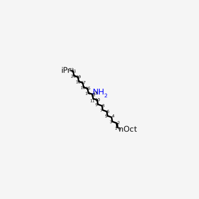 CCCCCCCCC=CCCCCCCCCCC(N)CCCCCCCCC(C)C